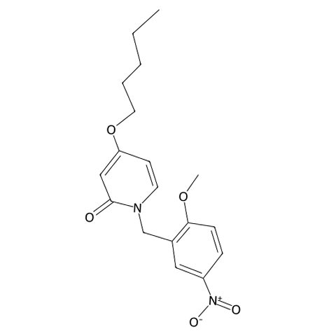 CCCCCOc1ccn(Cc2cc([N+](=O)[O-])ccc2OC)c(=O)c1